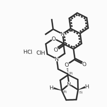 CC(C)n1c(=O)c(C(=O)O[C@H]2C[C@H]3CC[C@@H](C2)N3CCN2CCOCC2)cc2ccccc21.Cl.Cl